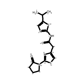 CC(C)c1cnc(NC(=O)Cc2csc(N3CCCC3=O)n2)s1